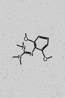 COc1cccc(OC)c1N=C(N(C)C)N(C)C